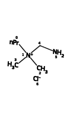 CCC[N+](C)(C)CN.[Cl-]